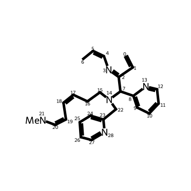 C=C/C(=N\C=C/C)C(c1ccccn1)N(CC/C=C\C=C/NC)Cc1ccccn1